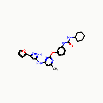 Cc1cc(Nc2cc(-c3ccco3)n[nH]2)nc(Oc2cccc(NC(=O)NC3CCCCC3)c2)n1